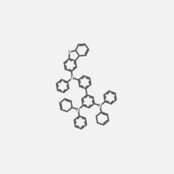 C1=CCCC(N(c2ccccc2)c2cc(-c3cccc(N(c4ccccc4)c4ccc5c(c4)C4C=CC=CC4S5)c3)cc(N(c3ccccc3)C3C=CC=CC3)c2)=C1